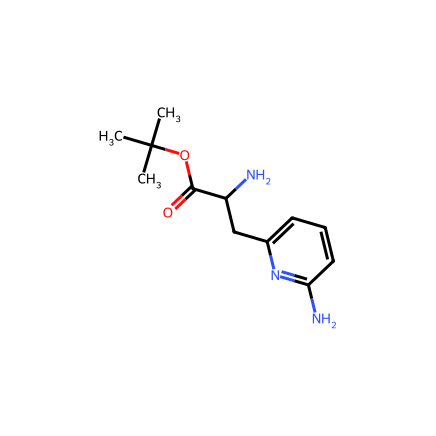 CC(C)(C)OC(=O)C(N)Cc1cccc(N)n1